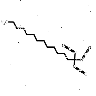 CCCCCCCCCCCCCC(N=C=O)(N=C=O)N=C=O